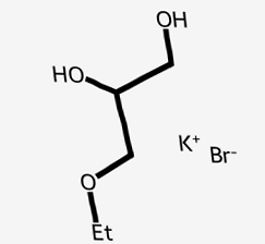 CCOCC(O)CO.[Br-].[K+]